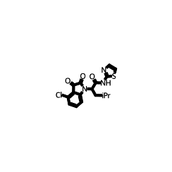 CC(C)CC(C(=O)Nc1nccs1)N1C(=O)C(=O)c2c(Cl)cccc21